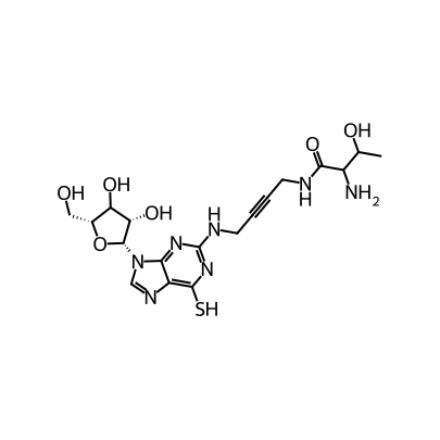 CC(O)C(N)C(=O)NCC#CCNc1nc(S)c2ncn([C@@H]3O[C@H](CO)C(O)[C@@H]3O)c2n1